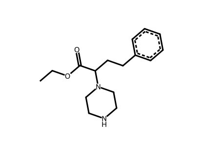 CCOC(=O)C(CCc1ccccc1)N1CCNCC1